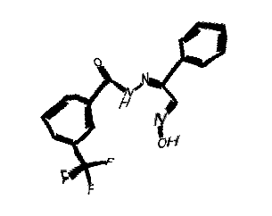 O=C(N/N=C(\C=N\O)c1ccccc1)c1cccc(C(F)(F)F)c1